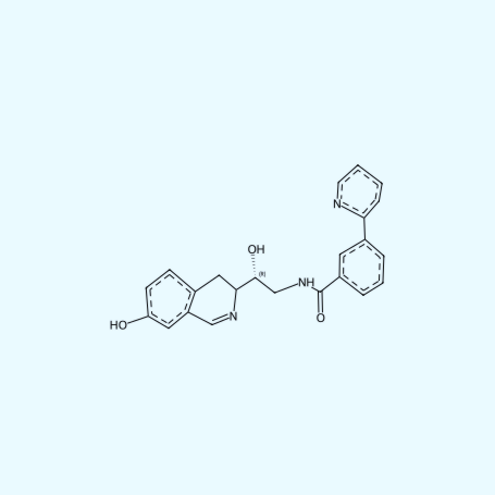 O=C(NC[C@@H](O)C1Cc2ccc(O)cc2C=N1)c1cccc(-c2ccccn2)c1